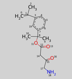 C=C(C)c1cccc(C(C)(C)OC(=O)CC(=O)CN)c1